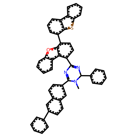 CN1C(c2ccc3cc(-c4ccccc4)ccc3c2)=NC(c2ccc(-c3cccc4c3sc3ccccc34)c3oc4ccccc4c23)=NC1c1ccccc1